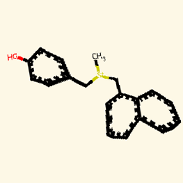 C[S+](Cc1ccc(O)cc1)Cc1cccc2ccccc12